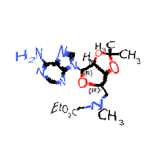 CCOC(=O)CN(C)C[C@H]1O[C@@H](n2cnc3c(N)ncnc32)[C@H]2OC(C)(C)OC12